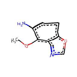 COc1c(N)ccc2ocnc12